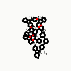 CC1(C)c2ccccc2-c2ccc(N(c3ccc4c(c3)C(C)(c3ccc(-c5cccc(-c6ccc7c(c6)oc6cccc(-c8ccccc8N(c8ccc9c(c8)C(C)(C)c8ccccc8-9)c8ccc9c(c8)C(C)(c8ccccc8)c8ccccc8-9)c67)c5)cc3)c3ccccc3-4)c3ccccc3-c3ccc(-c4cccc5sc6ccccc6c45)cc3)cc21